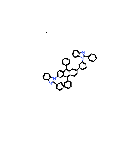 c1ccc(-c2c3ccc(-n4c(-c5ccccc5)nc5ccccc54)cc3c(-c3ccccc3)c3ccc(-c4cccc(-n5c(-c6ccccc6)nc6ccccc65)c4)cc23)cc1